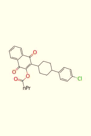 CCCC(=O)OC1=C(C2CCC(c3ccc(Cl)cc3)CC2)C(=O)c2ccccc2C1=O